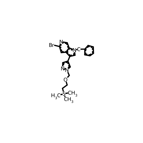 CS(C)(C)CCOCn1cc(-c2cn(Cc3ccccc3)c3cnc(Br)cc23)cn1